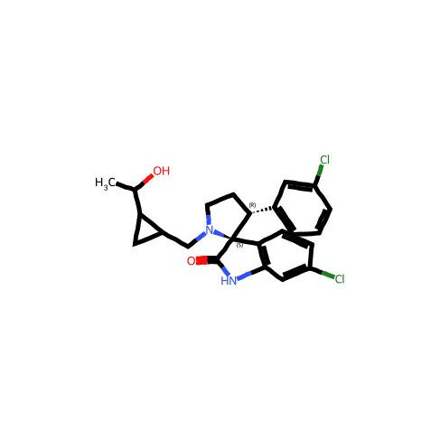 CC(O)C1CC1CN1CC[C@H](c2cccc(Cl)c2)[C@]12C(=O)Nc1cc(Cl)ccc12